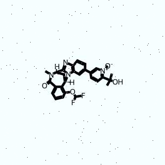 CN1C(=O)c2cccc(OC(F)F)c2[C@H]2C[C@@H]1c1nc3ccc(-c4ccc(C(C)(C)O)[n+]([O-])c4)cc3n12